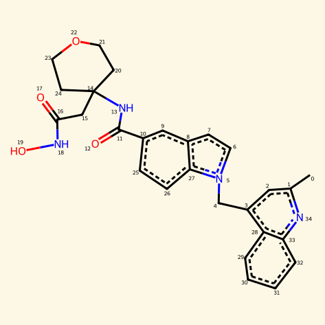 Cc1cc(Cn2ccc3cc(C(=O)NC4(CC(=O)NO)CCOCC4)ccc32)c2ccccc2n1